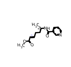 COC(=O)/C=C/CC[C@@H](C)NC(=O)c1cccnc1